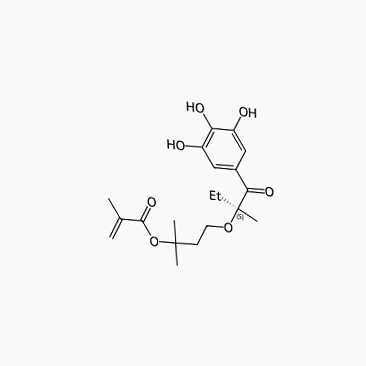 C=C(C)C(=O)OC(C)(C)CCO[C@@](C)(CC)C(=O)c1cc(O)c(O)c(O)c1